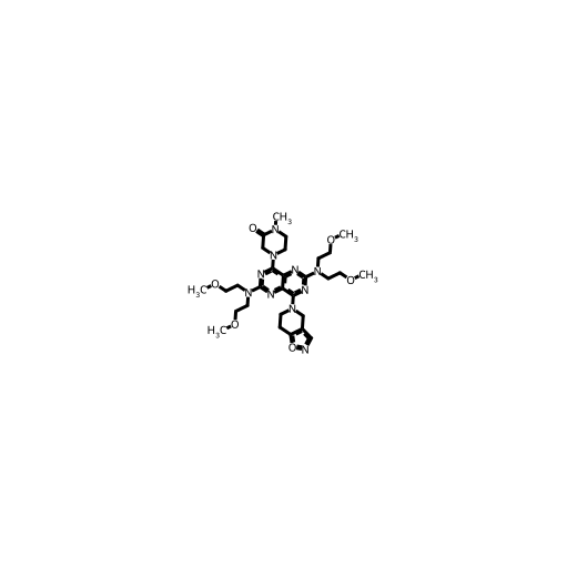 COCCN(CCOC)c1nc(N2CCc3oncc3C2)c2nc(N(CCOC)CCOC)nc(N3CCN(C)C(=O)C3)c2n1